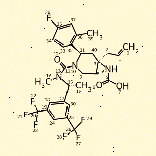 C=CC[C@]1(NC(=O)O)CCN(C(=O)N(C)[C@H](C)c2cc(C(F)(F)F)cc(C(F)(F)F)c2)[C@@H](c2ccc(F)cc2C)C1